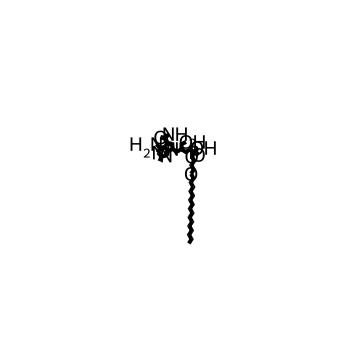 CCCCCCCCCCCCCCCCOCCCOP(=O)(O)CCC(CO)Cn1cc(C(N)=O)c2c(N)nc(C)nc21